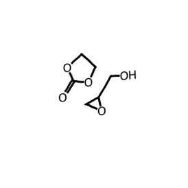 O=C1OCCO1.OCC1CO1